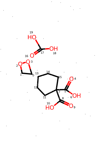 C1COO1.O=C(O)C1(C(=O)O)CCCCC1.O=C(O)O